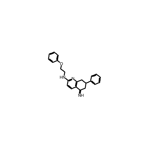 N=C1CC(c2ccccc2)Cc2nc(NCCOc3ccccc3)ccc21